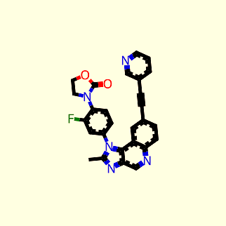 Cc1nc2cnc3ccc(C#Cc4cccnc4)cc3c2n1-c1ccc(N2CCOC2=O)c(F)c1